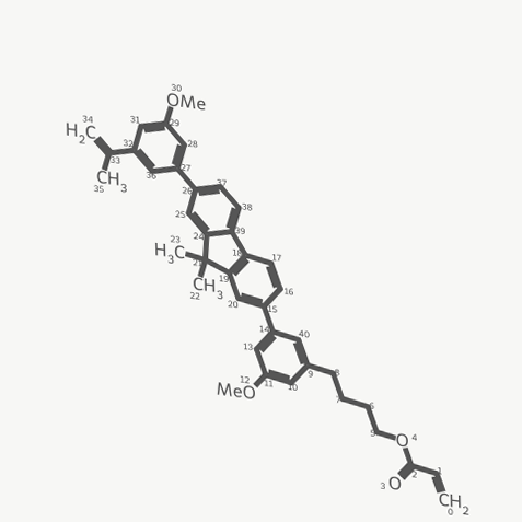 C=CC(=O)OCCCCc1cc(OC)cc(-c2ccc3c(c2)C(C)(C)c2cc(-c4cc(OC)cc(C(=C)C)c4)ccc2-3)c1